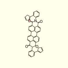 O=C1c2ccc3c4ccc5c6c(ccc(c7ccc(c2c37)C(=O)C1c1ccccc1C1=CC=CC1)c64)C(=O)N(c1ccccc1C1=CC=CC1)C5=O